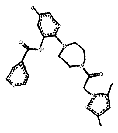 Cc1cc(C)n(CC(=O)N2CCN(c3ncc(Cl)cc3NC(=O)c3ccncc3)CC2)n1